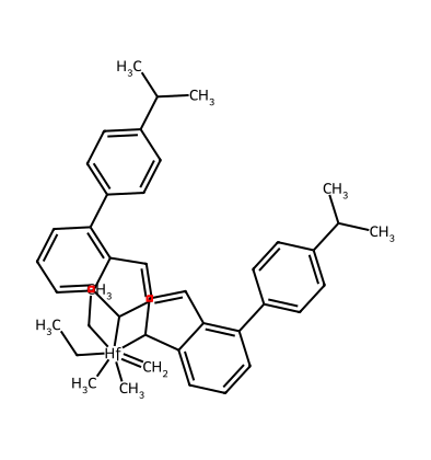 [CH2]=[Hf]([CH3])([CH3])([CH2]C)([CH2]C)([CH]1C=Cc2c(-c3ccc(C(C)C)cc3)cccc21)[CH]1C=Cc2c(-c3ccc(C(C)C)cc3)cccc21